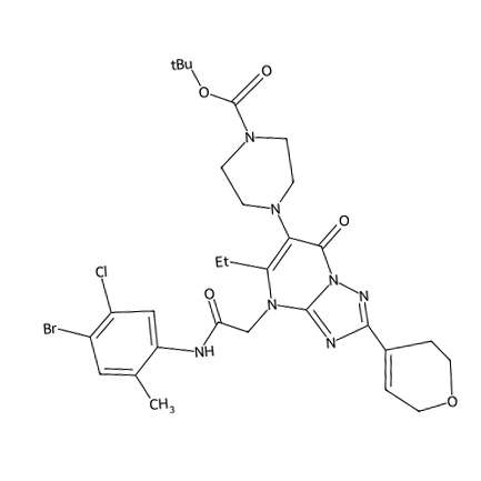 CCc1c(N2CCN(C(=O)OC(C)(C)C)CC2)c(=O)n2nc(C3=CCOCC3)nc2n1CC(=O)Nc1cc(Cl)c(Br)cc1C